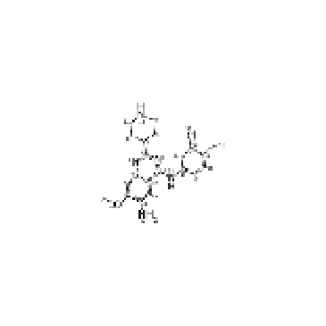 COc1cc2nc(C3CCNCC3)nc(Nc3ccc(F)c(Cl)c3)c2cc1N